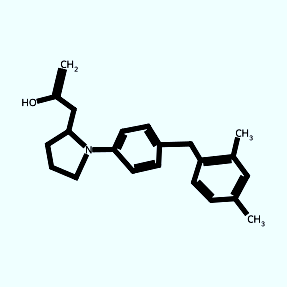 C=C(O)CC1CCCN1c1ccc(Cc2ccc(C)cc2C)cc1